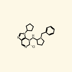 Cl[C@@H]1N=Cc2ncn(C3CCCC3)c2N1NC1CCCN1Cc1ccccc1